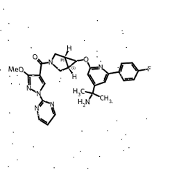 COc1nn(-c2ncccn2)cc1C(=O)N1C[C@@H]2C(Oc3cc(C(C)(C)N)cc(-c4ccc(F)cc4)n3)[C@@H]2C1